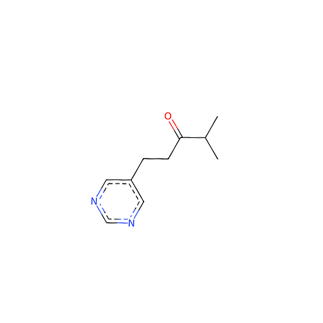 CC(C)C(=O)CCc1cncnc1